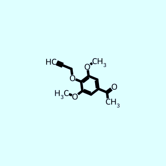 C#CCOc1c(OC)cc(C(C)=O)cc1OC